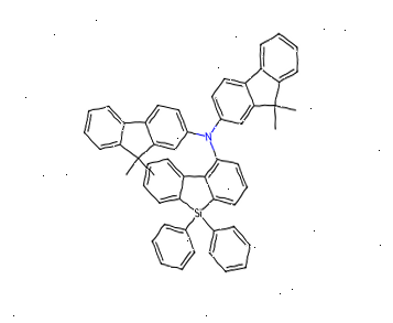 CC1(C)c2ccccc2-c2ccc(N(c3ccc4c(c3)C(C)(C)c3ccccc3-4)c3cccc4c3-c3ccccc3[Si]4(c3ccccc3)c3ccccc3)cc21